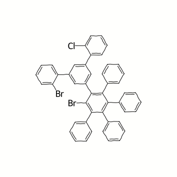 Clc1ccccc1-c1cc(-c2ccccc2Br)cc(-c2c(Br)c(-c3ccccc3)c(-c3ccccc3)c(-c3ccccc3)c2-c2ccccc2)c1